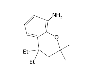 CCC1(CC)CC(C)(C)Oc2c(N)cccc21